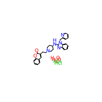 Cl.Cl.O.O.O=c1oc2ccccc2cc1CCN1CCC(Nc2nc3ccccc3n2Cc2ccccn2)CC1